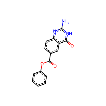 Nc1nc2ccc(C(=O)Oc3ccccc3)cc2c(=O)[nH]1